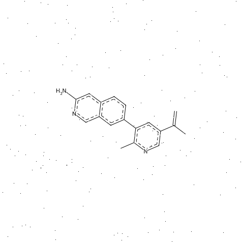 C=C(C)c1cnc(C)c(-c2ccc3cc(N)ncc3c2)c1